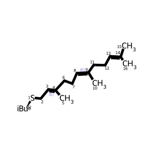 CC[C@H](C)SC/C=C(\C)CC/C=C(\C)CCC=C(C)C